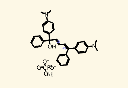 CN(C)c1ccc(/C(=C/C=C/C(O)(c2ccccc2)c2ccc(N(C)C)cc2)c2ccccc2)cc1.[O-][Cl+3]([O-])([O-])O